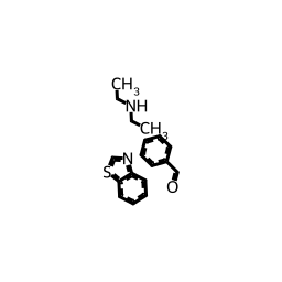 CCNCC.O=Cc1ccccc1.c1ccc2scnc2c1